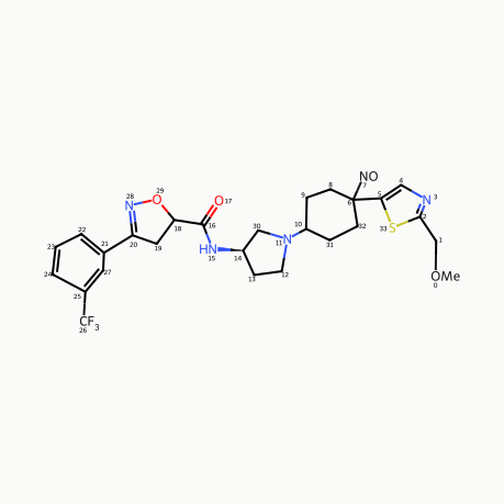 COCc1ncc(C2(N=O)CCC(N3CC[C@@H](NC(=O)C4CC(c5cccc(C(F)(F)F)c5)=NO4)C3)CC2)s1